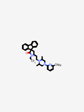 COc1cccc(N2CC(C)N(CCCCC3(C(=O)NCC(F)(F)F)c4ccccc4-c4ccccc43)C(C)C2)n1